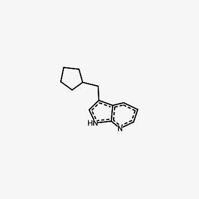 c1cnc2[nH]cc(CC3CCCC3)c2c1